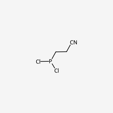 N#CCCP(Cl)Cl